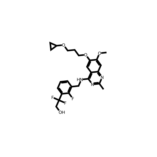 COc1cc2nc(C)nc(NCc3cccc(C(F)(F)CO)c3F)c2cc1OCCCOC1CC1